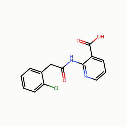 O=C(Cc1ccccc1Cl)Nc1ncccc1C(=O)O